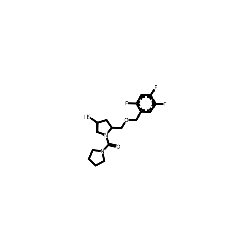 O=C(N1CCCC1)N1CC(S)CC1COCc1cc(F)c(F)cc1F